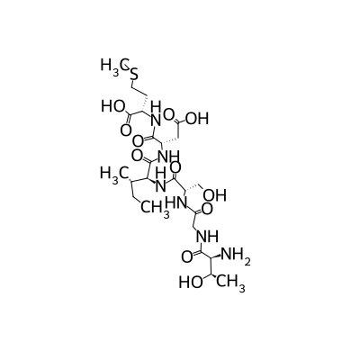 CC[C@H](C)[C@H](NC(=O)[C@H](CO)NC(=O)CNC(=O)[C@@H](N)[C@@H](C)O)C(=O)N[C@@H](CC(=O)O)C(=O)N[C@@H](CCSC)C(=O)O